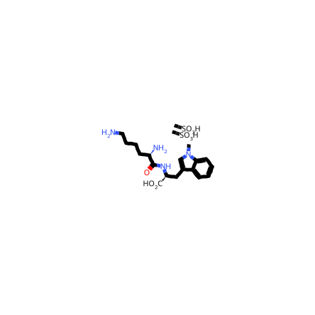 CS(=O)(=O)O.CS(=O)(=O)O.Cn1cc(C[C@@H](NC(=O)[C@@H](N)CCCCN)C(=O)O)c2ccccc21